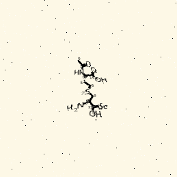 CC(=O)N[C@@H](CCSC[C@H](N)C(O)=[Se])C(=O)O